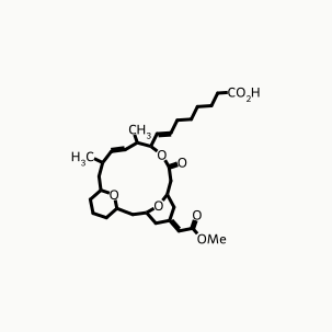 COC(=O)/C=C1\CC2CC(=O)OC(/C=C/CCCCCC(=O)O)C(C)/C=C/C(C)CC3CCCC(CC(C1)O2)O3